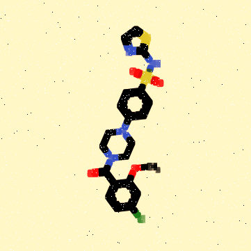 COc1cc(Cl)ccc1C(=O)N1CCN(c2ccc(S(=O)(=O)Nc3nccs3)cc2)CC1